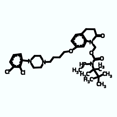 CPN(C(=O)OCN1C(=O)CCc2ccc(OCCCCN3CCN(c4cccc(Cl)c4Cl)CC3)cc21)C(C)(C)C(C)(C)C